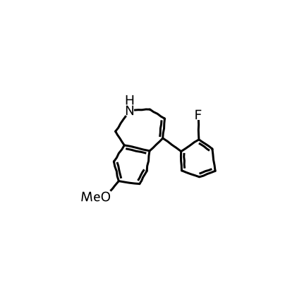 COc1ccc2c(c1)CNCC=C2c1ccccc1F